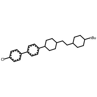 CCCCC1CCC(CCC2CCC(c3ccc(-c4ccc(Cl)cc4)cc3)CC2)CC1